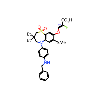 CCC1(CC)CN(c2ccc(NCc3ccccc3)cc2)c2cc(SC)c(O/C=C(\F)C(=O)O)cc2S(=O)(=O)C1